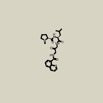 CC(C)C[C@H](NC(=O)[C@@H]1CCCN1C)C(=O)NCC(=O)CNC(=O)c1cccc2cccnc12